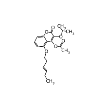 CC/C=C/CCOc1cccc2oc(=O)c(OC(C)C)c(OC(C)=O)c12